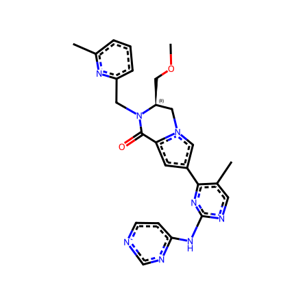 COC[C@H]1Cn2cc(-c3nc(Nc4ccncn4)ncc3C)cc2C(=O)N1Cc1cccc(C)n1